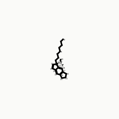 CCCCCCCC[C]1([Hf]([CH3])[CH3])C=Cc2cc3c(cc21)CCC3